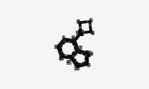 c1cc(N2CCC2)c2nccn2c1